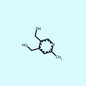 Cc1cc(CO)c(CO)cn1